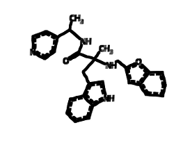 CC(NC(=O)C(C)(Cc1c[nH]c2ccccc12)NCc1cc2ccccc2o1)c1ccncc1